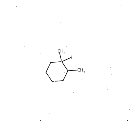 CC1CCCCC1(C)I